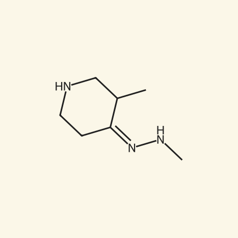 CN/N=C1/CCNCC1C